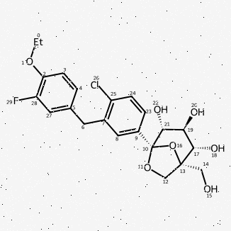 CCOc1ccc(Cc2cc([C@@]34OC[C@@](CO)(O3)[C@@H](O)[C@H](O)[C@H]4O)ccc2Cl)cc1F